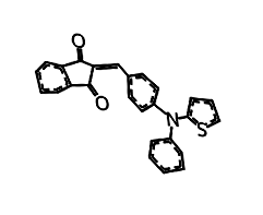 O=C1C(=Cc2ccc(N(c3ccccc3)c3cccs3)cc2)C(=O)c2ccccc21